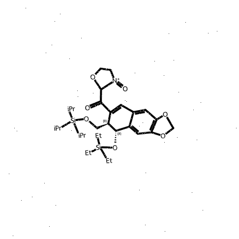 CC[Si](CC)(CC)O[C@H]1c2cc3c(cc2C=C(C(=O)C2OCC[N+]2=O)[C@@H]1CO[Si](C(C)C)(C(C)C)C(C)C)OCO3